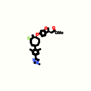 C=C1/C(F)=C\C=C(\c2c(C)cc(-c3cn(C)cn3)cc2C)CCC[C@H]1Oc1ccc2c(c1)OC[C@H]2CC(=O)OC